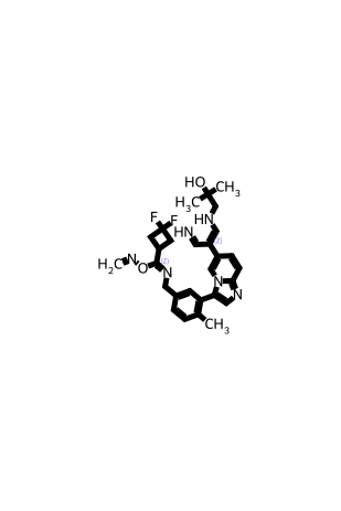 C=NO/C(=N\Cc1ccc(C)c(-c2cnc3ccc(/C(C=N)=C/NCC(C)(C)O)cn23)c1)C1CC(F)(F)C1